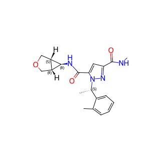 CNC(=O)c1cc(C(=O)N[C@H]2[C@@H]3COC[C@@H]32)n([C@@H](C)c2ccccc2C)n1